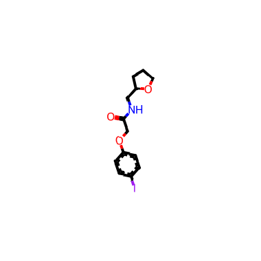 O=C(COc1ccc(I)cc1)NCC1CCCO1